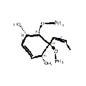 C/C=C\[C@]1(OP)[C@H](O)C=C[C@H](O)[C@H]1OP